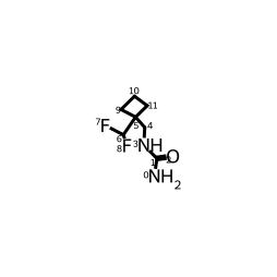 NC(=O)NCC1(C(F)F)CCC1